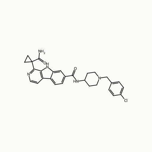 NC(=O)C1(c2nccc3c2[nH]c2cc(C(=O)NC4CCN(Cc5ccc(Cl)cc5)CC4)ccc23)CC1